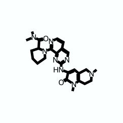 CN1CCc2c(cc(Nc3ncc4ccnc(N5CCCCC5C(=O)N(C)C)c4n3)c(=O)n2C)C1